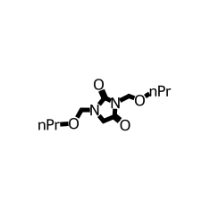 CCCOCN1CC(=O)N(COCCC)C1=O